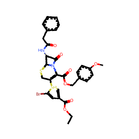 CCOC(=O)C1=C[SH](C2=C(C(=O)OCc3ccc(OC)cc3)N3C(=O)[C@@H](NC(=O)Cc4ccccc4)C3SC2)C(Br)=C1